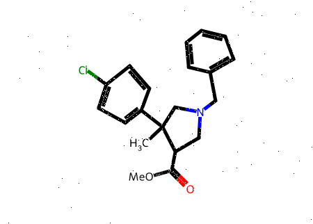 COC(=O)C1CN(Cc2ccccc2)CC1(C)c1ccc(Cl)cc1